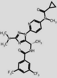 C[C@H](NC(=O)c1cc(C(F)(F)F)cc(C(F)(F)F)c1)c1nc(N(C)C)nn1-c1ccc(N(C)C(=O)C2CC2)cn1